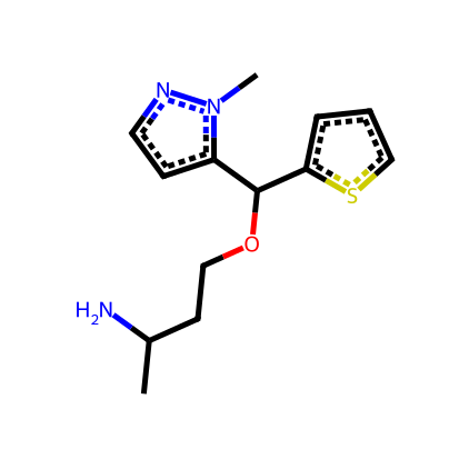 CC(N)CCOC(c1cccs1)c1ccnn1C